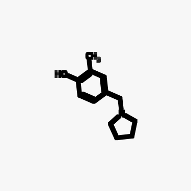 Cc1cc(CN2CCCC2)ccc1O